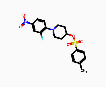 Cc1ccc(S(=O)(=O)OC2CCN(c3ccc([N+](=O)[O-])cc3F)CC2)cc1